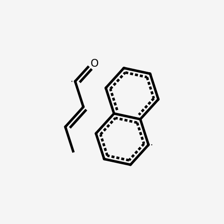 CC=C[C]=O.[c]1cccc2ccccc12